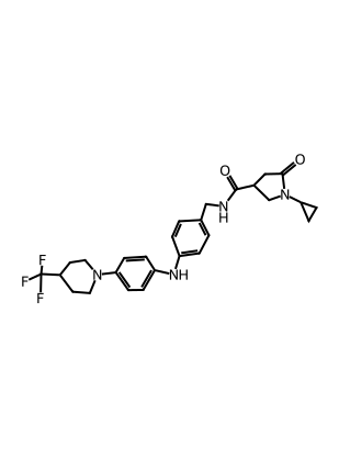 O=C(NCc1ccc(Nc2ccc(N3CCC(C(F)(F)F)CC3)cc2)cc1)C1CC(=O)N(C2CC2)C1